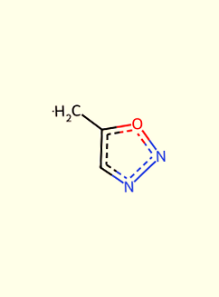 [CH2]c1cnno1